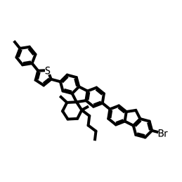 CCCCC1(C)CCCC(C)C12c1cc(-c3ccc4c(c3)Cc3cc(Br)ccc3-4)ccc1-c1ccc(-c3ccc(-c4ccc(C)cc4)s3)cc12